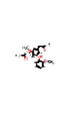 CC(C)=O.COc1cc(CC(C)=O)ccc1O.COc1ccccc1O